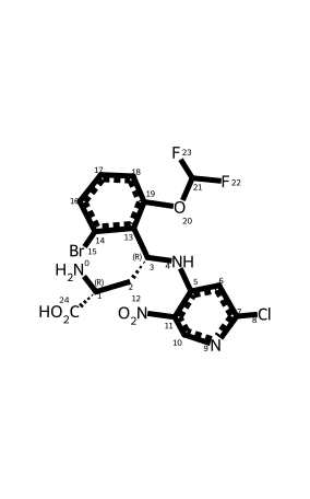 N[C@H](C[C@@H](Nc1cc(Cl)ncc1[N+](=O)[O-])c1c(Br)cccc1OC(F)F)C(=O)O